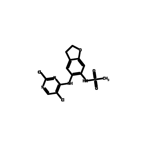 CS(=O)(=O)Nc1cc2c(cc1Nc1nc(Cl)ncc1Cl)CCO2